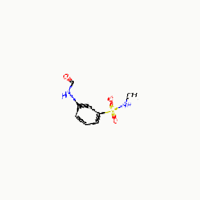 CNS(=O)(=O)c1cccc(NC=O)c1